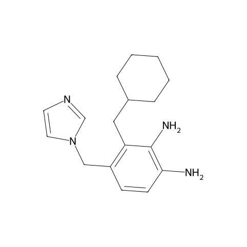 Nc1ccc(Cn2ccnc2)c(CC2CCCCC2)c1N